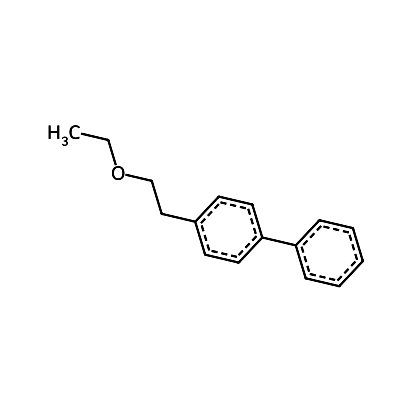 CCOCCc1ccc(-c2ccccc2)cc1